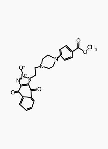 COC(=O)c1ccc(N2CCN(CCn3c4c(n[n+]3[O-])C(=O)c3ccccc3C4=O)CC2)cc1